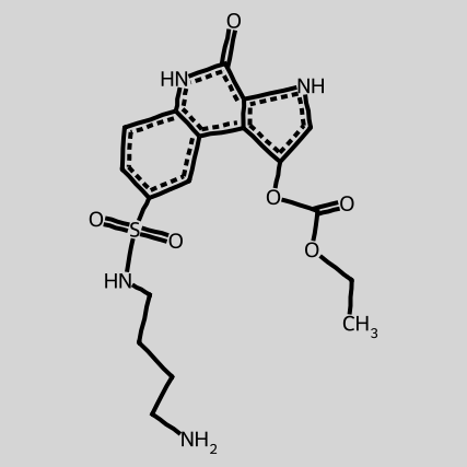 CCOC(=O)Oc1c[nH]c2c(=O)[nH]c3ccc(S(=O)(=O)NCCCCN)cc3c12